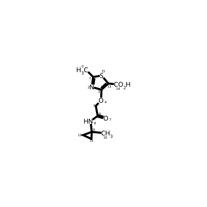 Cc1nc(OCC(=O)NC2(C)CC2)c(C(=O)O)s1